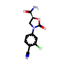 N#Cc1ccc(N2C[C@@H](C(N)=O)OC2=O)cc1Cl